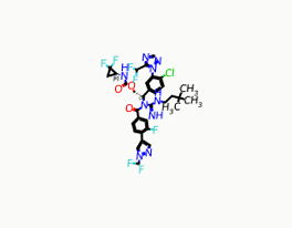 CC(C)(C)CCNC(=N)N(C(=O)c1ccc(-c2cnn(C(F)F)c2)c(F)c1)[C@H](COC(=O)N[C@@H]1CC1(F)F)c1ccc(Cl)c(-n2ncnc2C(F)F)c1